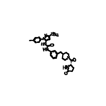 Cc1ccc(-n2nc(C(C)(C)C)cc2NC(=O)Nc2cccc(CC3CCN(C(=O)[C@@H]4CCC(=O)N4)CC3)c2)cc1